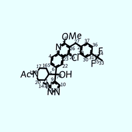 COc1nc2ccc(C(O)(c3cnnn3C)C3CCN(C(C)=O)CC3)cc2c(Cl)c1Cc1ccc(C(C)(F)F)cc1